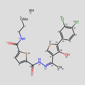 COCCNC(=O)c1ccc(C(=O)N/N=C(/C)c2csc(-c3ccc(Cl)c(Cl)c3)c2O)s1.[KH]